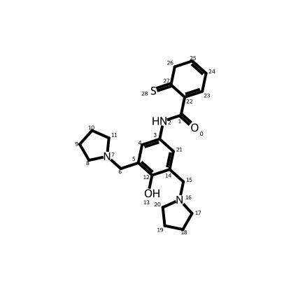 O=C(Nc1cc(CN2CCCC2)c(O)c(CN2CCCC2)c1)C1=CC=CCC1=S